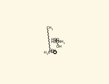 CCCCCCCCCCCCCCCC[N+](C)(C)Cc1ccccc1.N.O=P(O)(O)OCCO